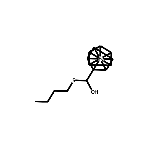 CCCCSC(O)[C]12[CH]3[CH]4[CH]5[CH]1[Fe]45321678[CH]2[CH]1[CH]6[CH]7[CH]28